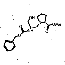 COC(=O)[C@@H]1CCCN1C[C@@H](CO)NC(=O)OCc1ccccc1